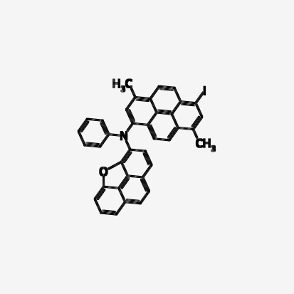 Cc1cc(I)c2ccc3c(C)cc(N(c4ccccc4)c4ccc5ccc6cccc7oc4c5c67)c4ccc1c2c34